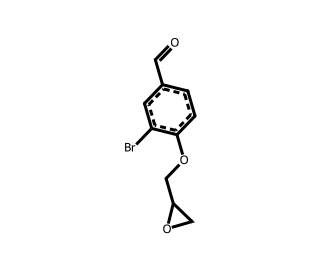 O=Cc1ccc(OCC2CO2)c(Br)c1